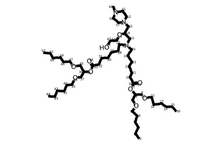 CCCCCCOCC(COCCCCCC)OC(=O)CCCCCCN(CCCCCCC(=O)OC(COCCCCCC)COCCCCCC)CC(CN1CCN(C)CC1)OCCO